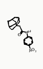 O=C(CC12CC3CC(CC(C3)C1)C2)Nc1ccc([N+](=O)[O-])cc1